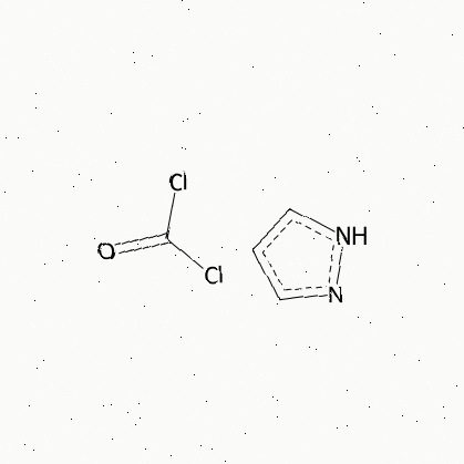 O=C(Cl)Cl.c1cn[nH]c1